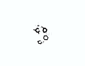 CCc1nc2c(C)cc(C)nc2n1Cc1ccc(N[C@H]2CC[C@H](CN3CCCC3)CC2)cc1